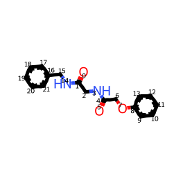 O=C(CNC(=O)COc1ccccc1)NCc1ccccc1